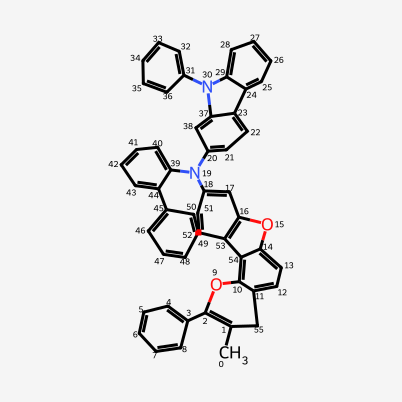 CC1=C(c2ccccc2)Oc2c(ccc3oc4cc(N(c5ccc6c7ccccc7n(-c7ccccc7)c6c5)c5ccccc5-c5ccccc5)ccc4c23)C1